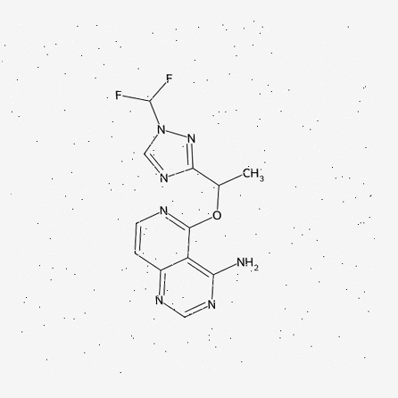 CC(Oc1nccc2ncnc(N)c12)c1ncn(C(F)F)n1